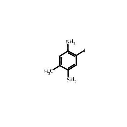 Cc1cc(N)c(I)cc1[SiH3]